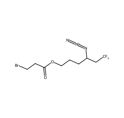 [N-]=[N+]=NC(CCCOC(=O)CCBr)CC(F)(F)F